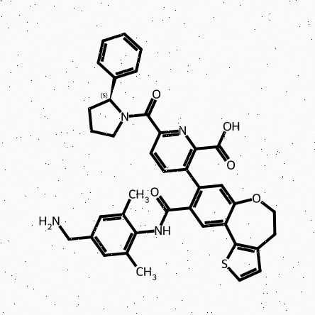 Cc1cc(CN)cc(C)c1NC(=O)c1cc2c(cc1-c1ccc(C(=O)N3CCC[C@H]3c3ccccc3)nc1C(=O)O)OCCc1ccsc1-2